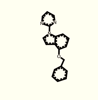 c1ccc(COc2cccc3c2ccn3-c2ncccn2)cc1